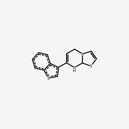 C1=CN2CC=C(c3csc4ccccc34)NC2S1